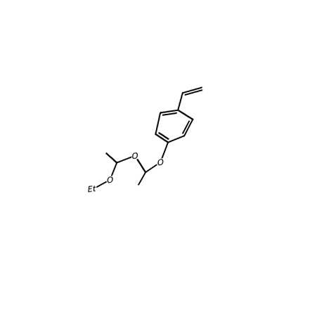 C=Cc1ccc(OC(C)OC(C)OCC)cc1